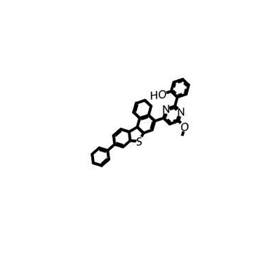 COc1cc(C2=CC3SC4C=C(C5=CCCC=C5)C=CC4C3C3=C2CCC=C3)nc(-c2ccccc2O)n1